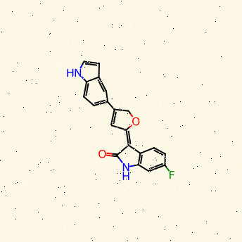 O=C1Nc2cc(F)ccc2/C1=C1/C=C(c2ccc3[nH]ccc3c2)CO1